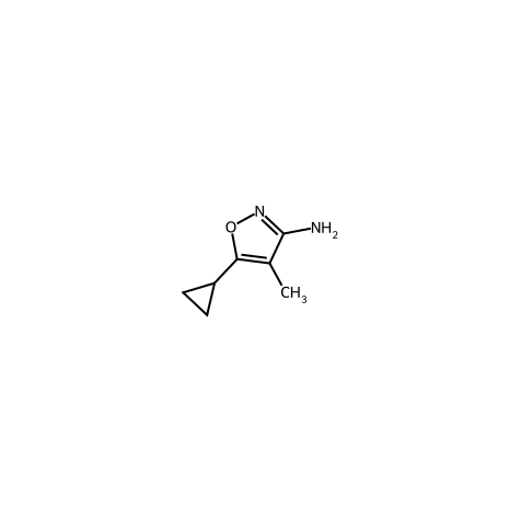 Cc1c(N)noc1C1CC1